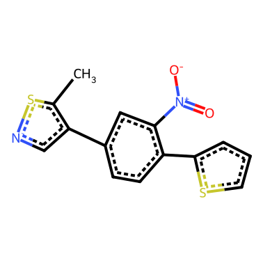 Cc1sncc1-c1ccc(-c2cccs2)c([N+](=O)[O-])c1